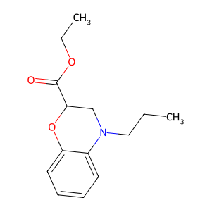 CCCN1CC(C(=O)OCC)Oc2ccccc21